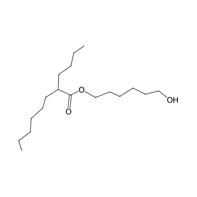 CCCCCCC(CCCC)C(=O)OCCCCCCO